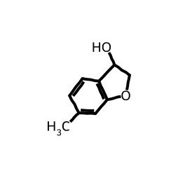 Cc1ccc2c(c1)OCC2O